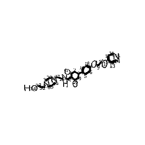 O=C1CC(c2ccc(OCCOc3ccncc3)cc2)CC(=O)C1=CNCCN1CCN(CCO)CC1